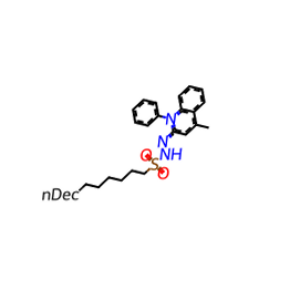 CCCCCCCCCCCCCCCCS(=O)(=O)N/N=c1\cc(C)c2ccccc2n1-c1ccccc1